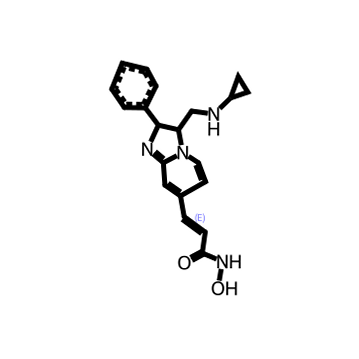 O=C(/C=C/C1=CC2=NC(c3ccccc3)C(CNC3CC3)N2C=C1)NO